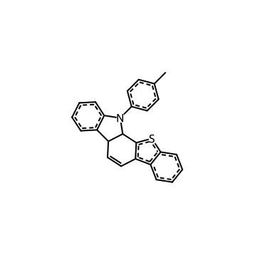 Cc1ccc(N2c3ccccc3C3C=Cc4c(sc5ccccc45)C32)cc1